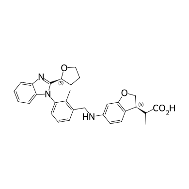 Cc1c(CNc2ccc3c(c2)OC[C@H]3C(C)C(=O)O)cccc1-n1c([C@@H]2CCCO2)nc2ccccc21